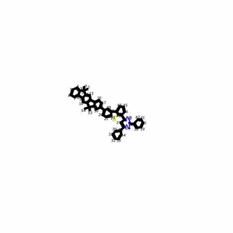 CC1(C)c2ccccc2-c2cc3c(cc21)-c1ccc(-c2ccc4sc5c(-c6cc(-c7ccccc7)nc(-c7ccccc7)n6)cccc5c4c2)cc1C3(C)C